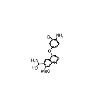 COc1cc2nccc(Oc3ccc(N)c(Cl)c3)c2cc1C(N)O